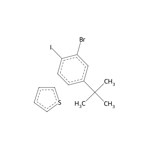 CC(C)(C)c1ccc(I)c(Br)c1.c1ccsc1